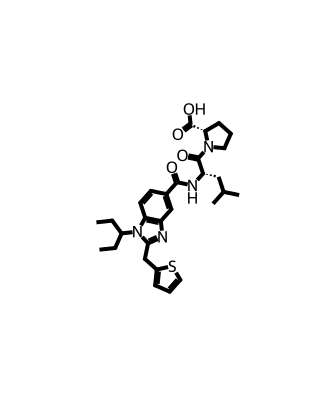 CCC(CC)n1c(Cc2cccs2)nc2cc(C(=O)N[C@@H](CC(C)C)C(=O)N3CCC[C@H]3C(=O)O)ccc21